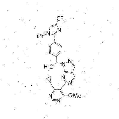 COc1ncnc(C2CC2)c1-c1ncc2cnn([C@H](C)c3ccc(-c4nc(C(F)(F)F)cn4C(C)C)cc3)c2n1